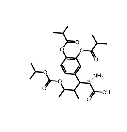 CC(C)OC(=O)OC(C)C(C)C(c1ccc(OC(=O)C(C)C)c(OC(=O)C(C)C)c1)[C@H](N)C(=O)O